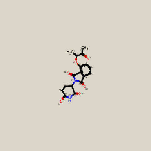 CC(=O)C(C)Oc1cccc2c1C(=O)N(C1CCC(=O)NC1=O)C2=O